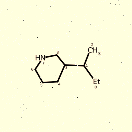 CCC(C)C1C[CH]CNC1